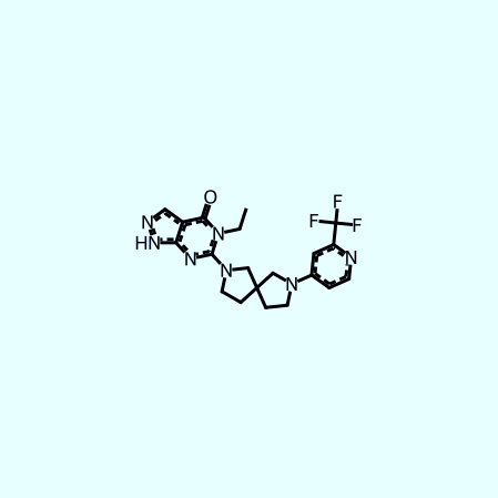 CCn1c(N2CCC3(CCN(c4ccnc(C(F)(F)F)c4)C3)C2)nc2[nH]ncc2c1=O